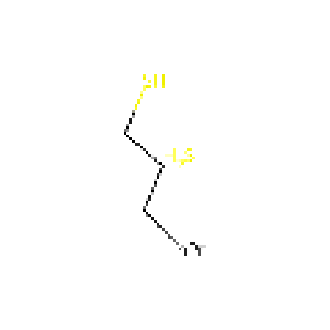 CCCCCCS.S